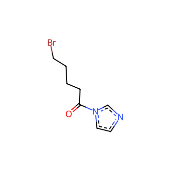 O=C(CCCCBr)n1ccnc1